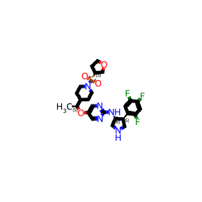 C[C@H](Oc1cnc(N[C@H]2CNC[C@@H]2c2cc(F)c(F)cc2F)nc1)C1CCN(S(=O)(=O)[C@H]2CCOC2)CC1